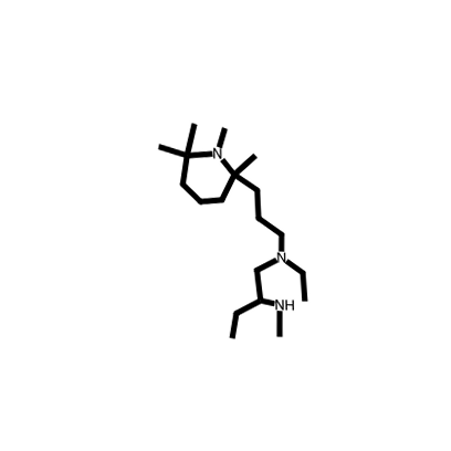 CCC(CN(CC)CCCC1(C)CCCC(C)(C)N1C)NC